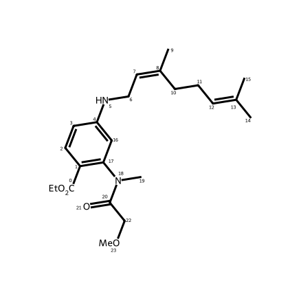 CCOC(=O)c1ccc(NCC=C(C)CCC=C(C)C)cc1N(C)C(=O)COC